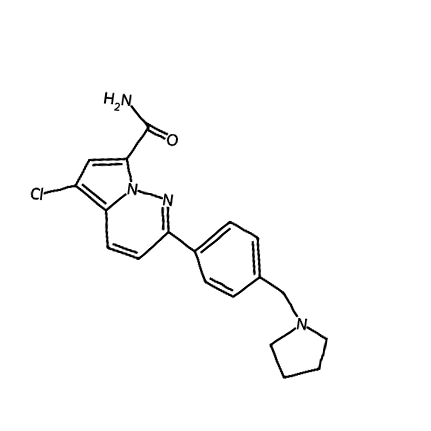 NC(=O)c1cc(Cl)c2ccc(-c3ccc(CN4CCCC4)cc3)nn12